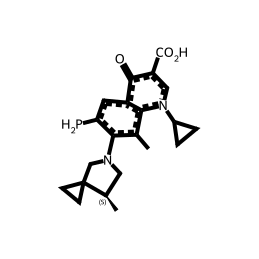 Cc1c(N2C[C@@H](C)C3(CC3)C2)c(P)cc2c(=O)c(C(=O)O)cn(C3CC3)c12